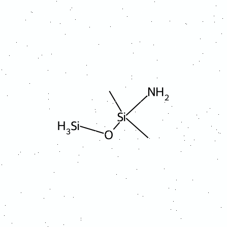 C[Si](C)(N)O[SiH3]